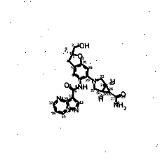 C[C@@]1(CO)Cc2cc(NC(=O)c3cnn4cccnc34)c(N3C[C@@H]4[C@H](C3)[C@@H]4C(N)=O)cc2O1